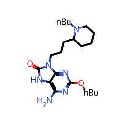 CCCCOc1nc(N)c2[nH]c(=O)n(CCCC3CCCCN3CCCC)c2n1